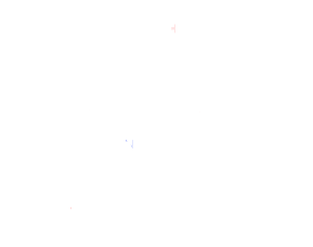 COc1ccc(O)cc1C(N=C1CC=CC=C1C=O)c1cc2ccccc2o1